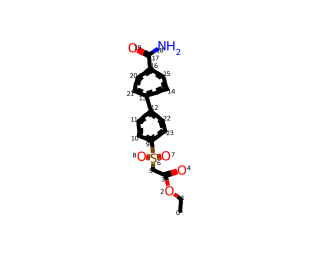 CCOC(=O)CS(=O)(=O)c1ccc(-c2ccc(C(N)=O)cc2)cc1